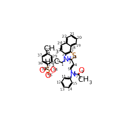 CC[n+]1c(C=CN(C(C)=O)c2ccccc2)sc2c3ccccc3ccc21.Cc1ccc(S(=O)(=O)[O-])cc1